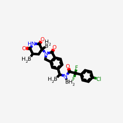 BC1CC(B)(N2Cc3cc(C(B)N(B)C(=O)C(F)(F)c4ccc(Cl)cc4)ccc3C2=O)C(=O)NC1=O